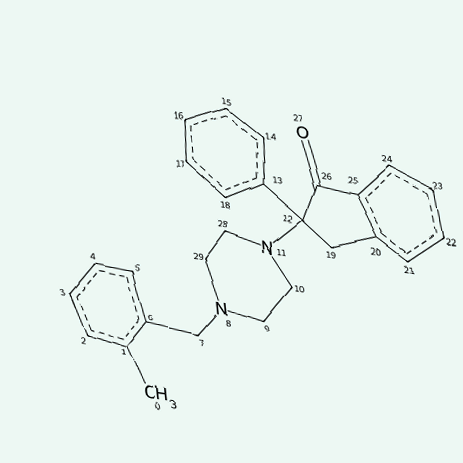 Cc1ccccc1CN1CCN(C2(c3ccccc3)Cc3ccccc3C2=O)CC1